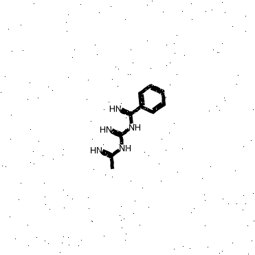 CC(=N)NC(=N)NC(=N)c1ccccc1